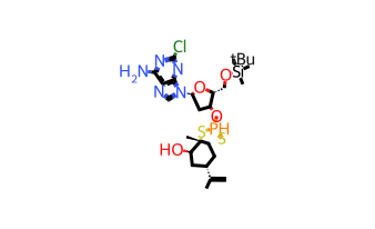 C=C(C)[C@H]1CC[C@@](C)(S[PH](=S)OC2C[C@H](n3cnc4c(N)nc(Cl)nc43)O[C@@H]2CO[Si](C)(C)C(C)(C)C)[C@H](O)C1